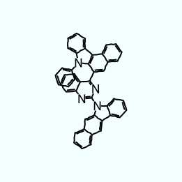 c1ccc(-n2c3ccccc3c3c4ccccc4cc(-c4nc(-n5c6ccccc6c6cc7ccccc7cc65)nc5ccccc45)c32)cc1